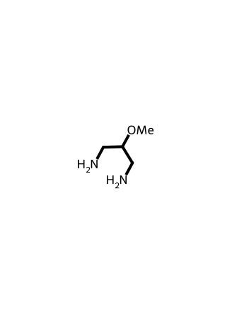 COC(CN)CN